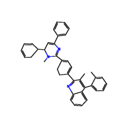 Cc1ccccc1-c1c(C)c(C2=CC=C(C3=NC(c4ccccc4)=CC(C4C=CC=CC4)N3C)CC2)nc2ccccc12